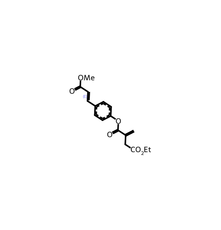 C=C(CC(=O)OCC)C(=O)Oc1ccc(/C=C/C(=O)OC)cc1